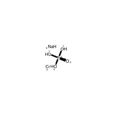 O=P(O)(O)O.[Cr].[NaH]